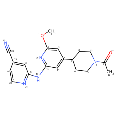 COc1cc(C2CCN(C(C)=O)CC2)cc(Nc2cc(C#N)ccn2)n1